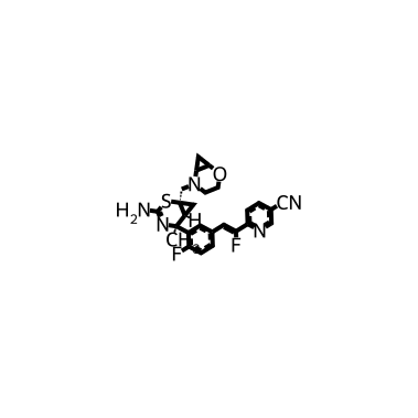 C[C@]1(c2cc(/C=C(\F)c3ccc(C#N)cn3)ccc2F)N=C(N)S[C@@]2(CN3CCOC4CC43)C[C@H]21